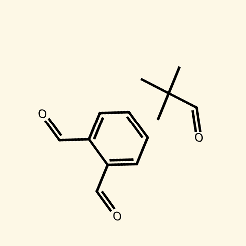 CC(C)(C)C=O.O=Cc1ccccc1C=O